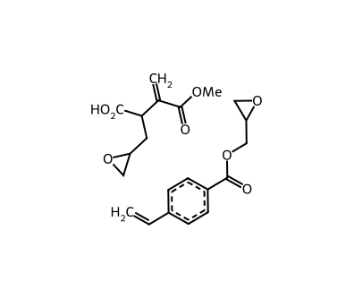 C=C(C(=O)OC)C(CC1CO1)C(=O)O.C=Cc1ccc(C(=O)OCC2CO2)cc1